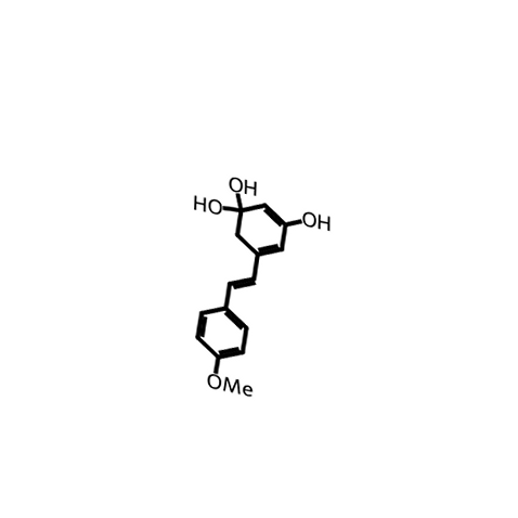 COc1ccc(C=CC2=CC(O)=CC(O)(O)C2)cc1